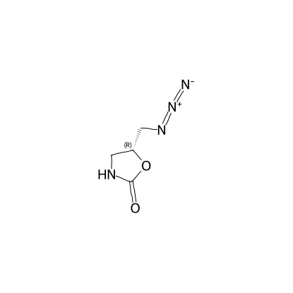 [N-]=[N+]=NC[C@H]1CNC(=O)O1